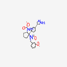 COC(=O)NC1CCCC12c1ccc(-c3cn[nH]c3)cc1C(=O)N2Cc1cccc(OC)c1